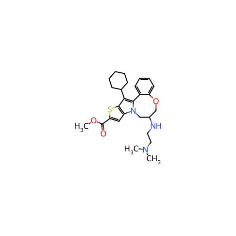 COC(=O)c1cc2c(s1)c(C1CCCCC1)c1n2CC(NCCN(C)C)COc2ccccc2-1